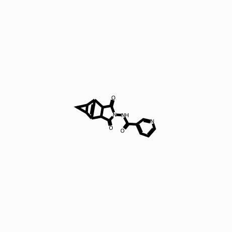 O=C(NN1C(=O)C2C3C=CC(C4CC34)C2C1=O)c1cccnc1